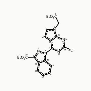 CCOC(=O)Cn1cnc2c(-n3nc(C(=O)OCC)c4ccccc43)nc(Cl)nc21